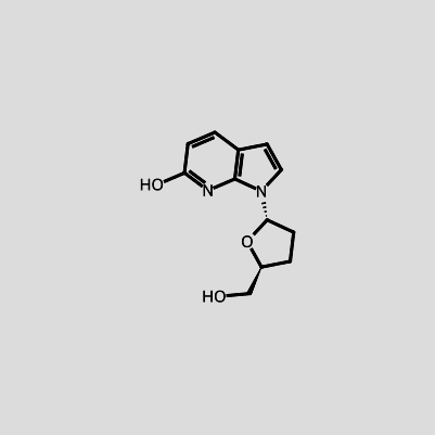 OC[C@@H]1CC[C@@H](n2ccc3ccc(O)nc32)O1